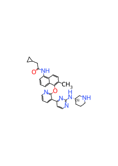 Cc1ccc2c(NC(=O)CC3CC3)cccc2c1Oc1ncccc1-c1ccnc(N[C@H]2CCCNC2)n1